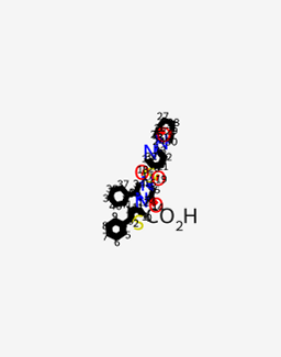 O=C(O)c1sc(-c2ccccc2)cc1N1C(=O)CN(S(=O)(=O)c2ccc(N3CC4CCC(C3)O4)nc2)CC1C1CCCCC1